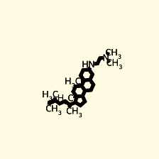 C/C=C(/C)CCC(C)C1CCC2C3CCC4CC(NCCN(C)C)CCC4(C)C3CC[C@@]12C